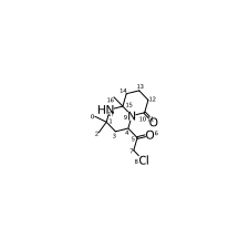 CC1(C)CC(C(=O)CCl)N2C(=O)CCCC2(C)N1